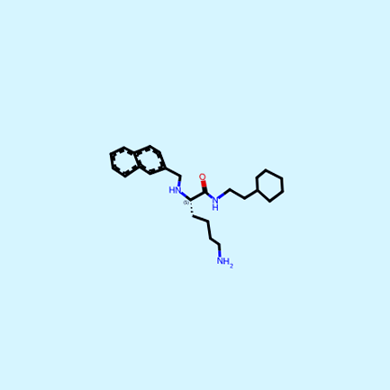 NCCCC[C@H](NCc1ccc2ccccc2c1)C(=O)NCCC1CCCCC1